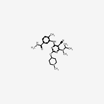 CNC(=O)c1ccc(C)c(Nc2nc(OC3CCN(C)CC3)nc(N(C)C(C)C)c2C#N)c1